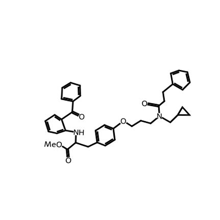 COC(=O)C(Cc1ccc(OCCCN(CC2CC2)C(=O)CCc2ccccc2)cc1)Nc1ccccc1C(=O)c1ccccc1